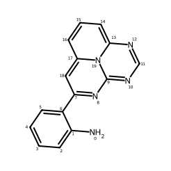 Nc1ccccc1C1=NC2=NC=NC3=CC=CC(=C1)N32